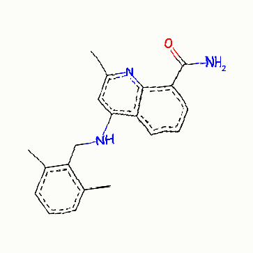 Cc1cc(NCc2c(C)cccc2C)c2cccc(C(N)=O)c2n1